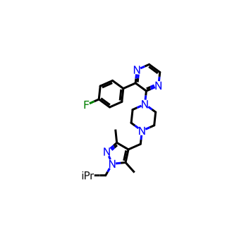 Cc1nn(CC(C)C)c(C)c1CN1CCN(c2nccnc2-c2ccc(F)cc2)CC1